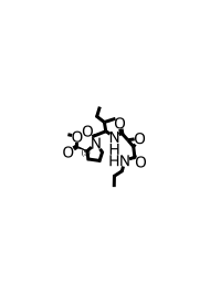 CCCNC(=O)C1OC1C(=O)NC(C(=O)N1CCC[C@H]1C(=O)OC)C(C)CC